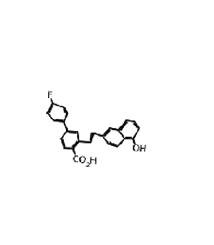 O=C(O)c1ccc(-c2ccc(F)cc2)cc1/C=C/c1ccc2c(O)cccc2c1